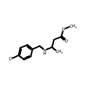 COC(=O)CC(C)NCc1ccc(Cl)cc1